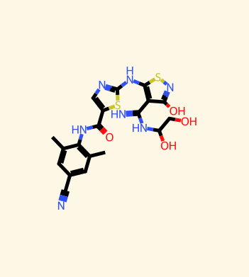 Cc1cc(C#N)cc(C)c1NC(=O)c1cnc(Nc2snc(O)c2C(=N)NC(O)CO)s1